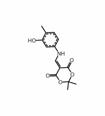 Cc1ccc(NC=C2C(=O)OC(C)(C)OC2=O)cc1O